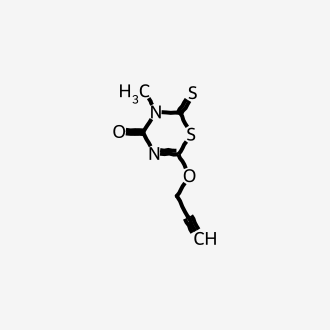 C#CCOc1nc(=O)n(C)c(=S)s1